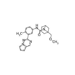 COCC12CCCC(C1)N2C(=O)Nc1ccc(C)c(-c2ncc3cccn3n2)c1